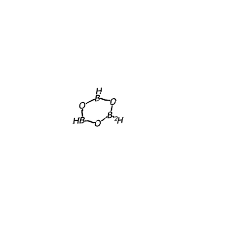 [2H]B1OBOBO1